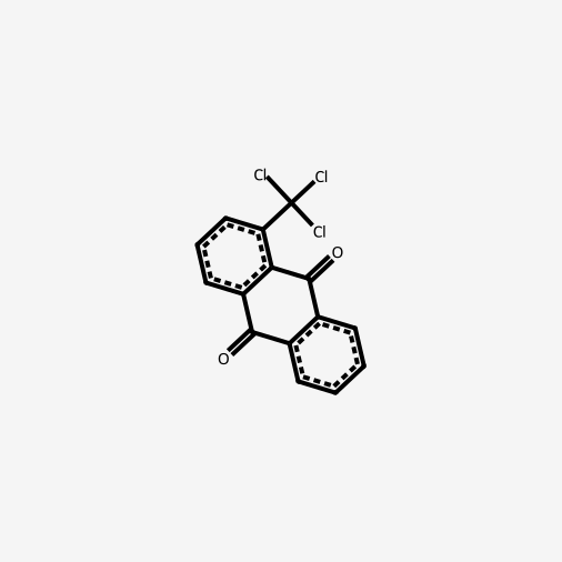 O=C1c2ccccc2C(=O)c2c1cccc2C(Cl)(Cl)Cl